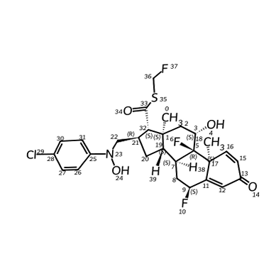 C[C@]12C[C@H](O)[C@@]3(F)[C@@H](C[C@H](F)C4=CC(=O)C=C[C@@]43C)[C@@H]1C[C@@H](CN(O)c1ccc(Cl)cc1)[C@@H]2C(=O)SCF